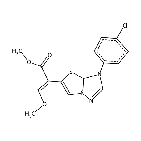 CO/C=C(/C(=O)OC)C1=CN2N=CN(c3ccc(Cl)cc3)C2S1